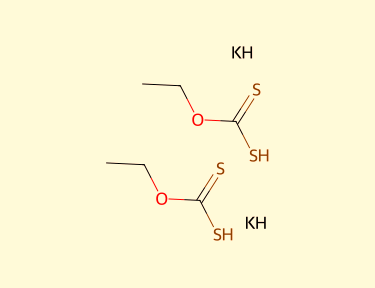 CCOC(=S)S.CCOC(=S)S.[KH].[KH]